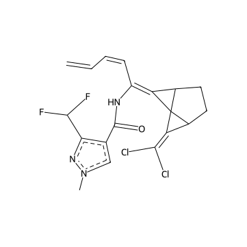 C=C/C=C\C(NC(=O)c1cn(C)nc1C(F)F)=C1/C2CCC3C(=C(Cl)Cl)C132